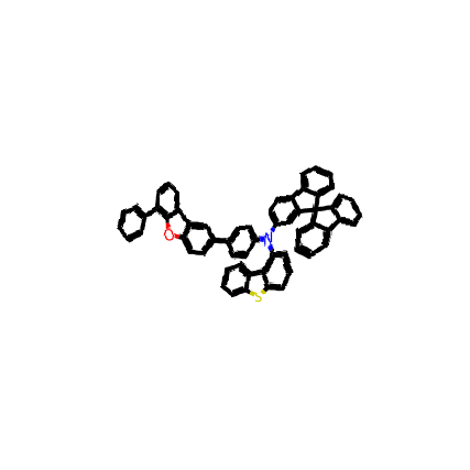 c1ccc(-c2cccc3c2oc2ccc(-c4ccc(N(c5ccc6c(c5)C5(c7ccccc7-c7ccccc75)c5ccccc5-6)c5cccc6sc7ccccc7c56)cc4)cc23)cc1